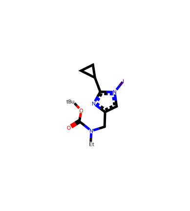 CCN(Cc1cn(I)c(C2CC2)n1)C(=O)OC(C)(C)C